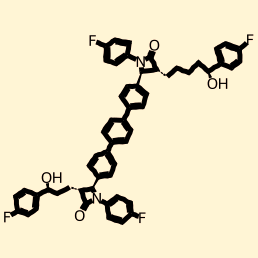 O=C1[C@H](CCCC[C@H](O)c2ccc(F)cc2)[C@@H](c2ccc(-c3ccc(-c4ccc([C@@H]5[C@@H](CC[C@H](O)c6ccc(F)cc6)C(=O)N5c5ccc(F)cc5)cc4)cc3)cc2)N1c1ccc(F)cc1